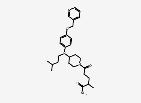 CC(C)CCN(c1ccc(OCc2cccnc2)cc1)C1CCN(C(=O)[CH]CC(C)C(N)=O)CC1